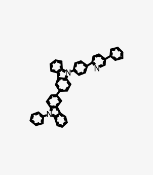 c1ccc(-c2ccc(-c3ccc(-n4c5ccccc5c5cc(-c6ccc7c(c6)c6ccccc6n7-c6ccccc6)ccc54)cc3)nc2)cc1